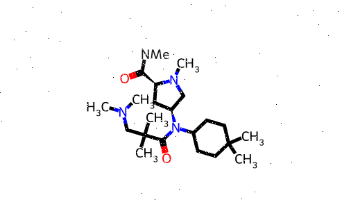 CNC(=O)[C@@H]1C[C@H](N(C(=O)C(C)(C)CN(C)C)C2CCC(C)(C)CC2)CN1C